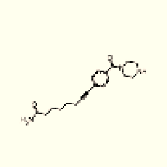 NC(=O)CCCCCC#Cc1ccc(C(=O)N2CCNCC2)cc1